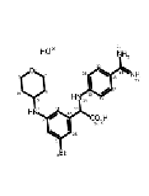 CCc1cc(NC2CCOCC2)cc(C(Nc2ccc(C(=N)N)cc2)C(=O)O)c1.Cl